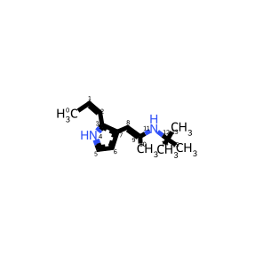 C/C=C\c1[nH]ccc1/C=C(\C)NC(C)(C)C